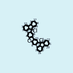 ClC1(c2ccc3oc4ccc(C5(Cl)c6ccccc6-c6ccccc65)cc4c3c2)c2ccccc2-c2ccccc21